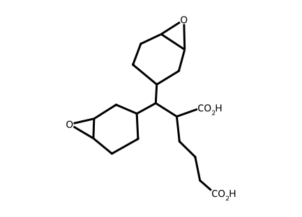 O=C(O)CCCC(C(=O)O)C(C1CCC2OC2C1)C1CCC2OC2C1